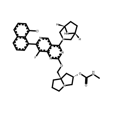 CNC(=O)O[C@@H]1CN2CCC[C@]2(COc2nc(N3C[C@H]4CC[C@@H](C3)N4)c3cnc(-c4cccc5cccc(Cl)c45)c(F)c3n2)C1